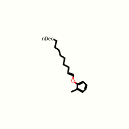 CCCCCCCCCCCCCCCCCC=COc1ccccc1C